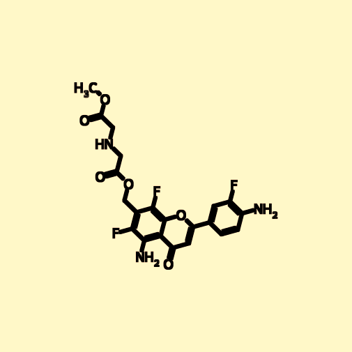 COC(=O)CNCC(=O)OCc1c(F)c(N)c2c(=O)cc(-c3ccc(N)c(F)c3)oc2c1F